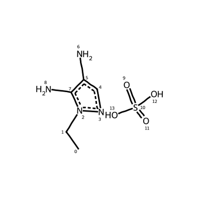 CCn1ncc(N)c1N.O=S(=O)(O)O